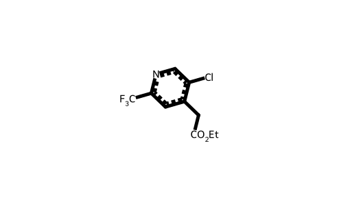 CCOC(=O)Cc1cc(C(F)(F)F)ncc1Cl